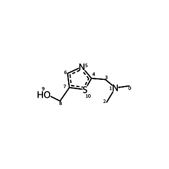 CN(C)Cc1ncc(CO)s1